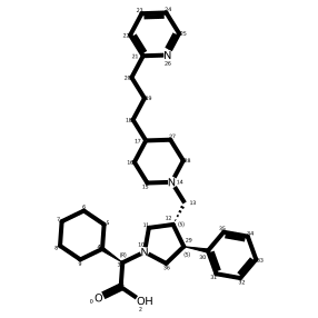 O=C(O)[C@@H](C1CCCCC1)N1C[C@H](CN2CCC(CCCc3ccccn3)CC2)[C@@H](c2ccccc2)C1